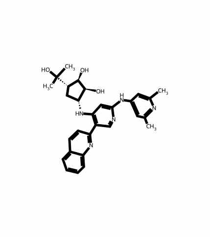 Cc1cc(Nc2cc(N[C@@H]3C[C@H](C(C)(C)O)[C@@H](O)[C@H]3O)c(-c3ccc4ccccc4n3)cn2)cc(C)n1